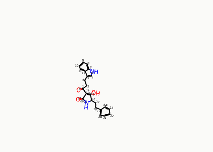 O=C(CCc1c[nH]c2ccccc12)C1=C(O)C(CCc2ccccc2)NC1=O